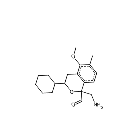 COc1c(C)ccc2c1CC(C1CCCCC1)OC2(C=O)CN